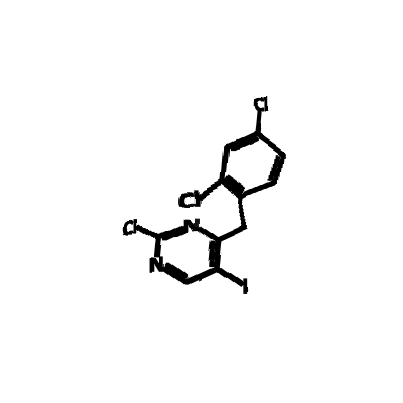 Clc1ccc(Cc2nc(Cl)ncc2I)c(Cl)c1